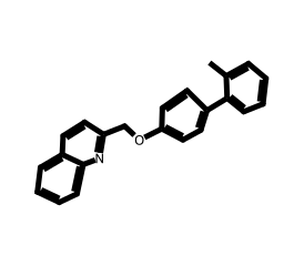 Cc1ccccc1-c1ccc(OCc2ccc3ccccc3n2)cc1